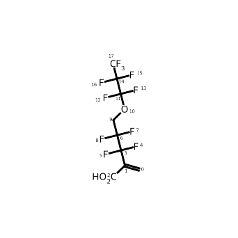 C=C(C(=O)O)C(F)(F)C(F)(F)COC(F)(F)C(F)(F)C(F)(F)F